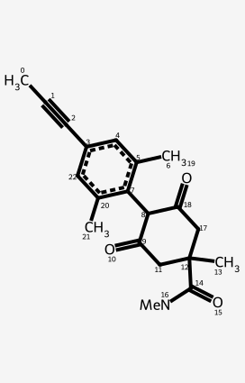 CC#Cc1cc(C)c(C2C(=O)CC(C)(C(=O)NC)CC2=O)c(C)c1